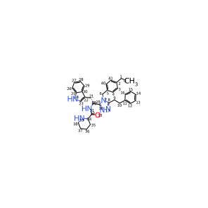 CCc1ccc(Cn2c(CCc3ccccc3)nnc2[C@@H](Cc2c[nH]c3ccccc23)NC(=O)C2CCCCN2)cc1